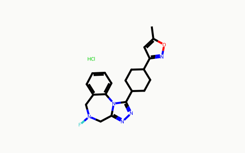 Cc1cc(C2CCC(c3nnc4n3-c3ccccc3CN(F)C4)CC2)no1.Cl